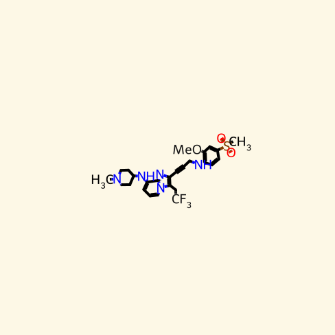 COc1cc(S(C)(=O)=O)ccc1NCC#Cc1nc2c(NC3CCN(C)CC3)cccn2c1CC(F)(F)F